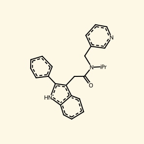 CC(C)N(Cc1cccnc1)C(=O)Cc1c(-c2ccccc2)[nH]c2ccccc12